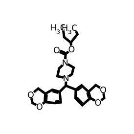 CCC(CC)OC(=O)N1CCN(C(c2ccc3c(c2)COCO3)c2ccc3c(c2)COCO3)CC1